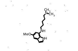 COc1cc(NCCCCCN(C)C)c2[nH]ccc2c1